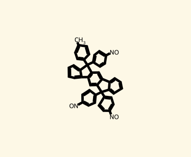 Cc1ccc(C2(c3ccc(N=O)cc3)c3ccccc3-c3cc4c(cc32)-c2ccccc2C4(c2ccc(N=O)cc2)c2ccc(N=O)cc2)cc1